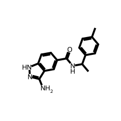 Cc1ccc(C(C)NC(=O)c2ccc3[nH]nc(N)c3c2)cc1